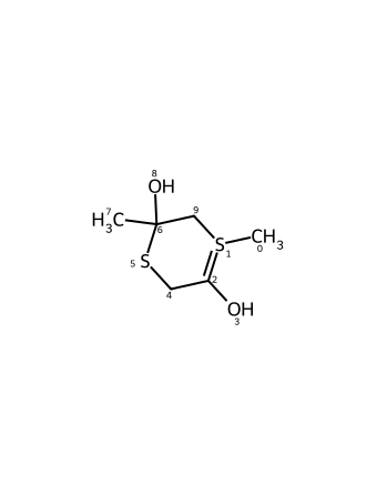 CS1=C(O)CSC(C)(O)C1